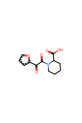 O=C(C(=O)N1CCCCC1C(=O)O)c1ccco1